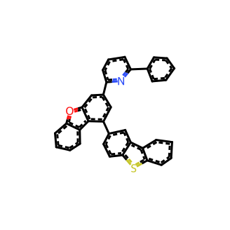 c1ccc(-c2cccc(-c3cc(-c4ccc5sc6ccccc6c5c4)c4c(c3)oc3ccccc34)n2)cc1